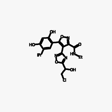 CCNC(=O)c1noc(-c2cc(C(C)C)c(O)cc2O)c1-c1noc(C(O)CCl)n1